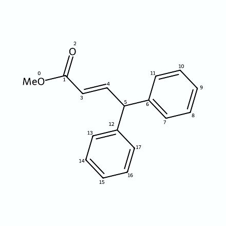 COC(=O)C=CC(c1ccccc1)c1ccccc1